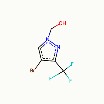 OCn1cc(Br)c(C(F)(F)F)n1